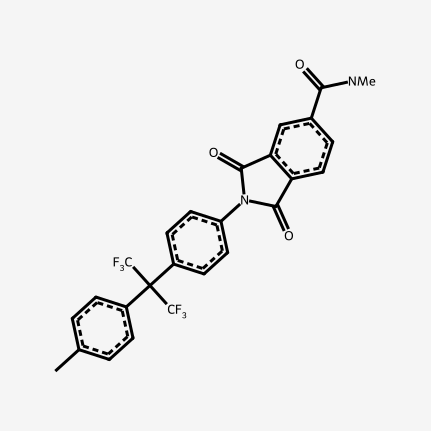 CNC(=O)c1ccc2c(c1)C(=O)N(c1ccc(C(c3ccc(C)cc3)(C(F)(F)F)C(F)(F)F)cc1)C2=O